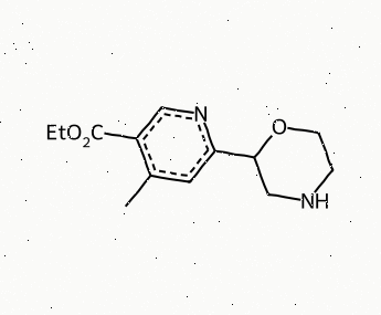 CCOC(=O)c1cnc(C2CNCCO2)cc1C